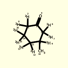 [2H]C1([2H])C(=O)C([2H])([2H])C([2H])(C)C([2H])([2H])C1([2H])[2H]